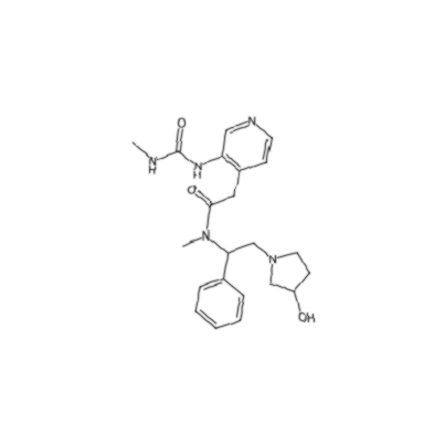 CNC(=O)Nc1cnccc1CC(=O)N(C)C(CN1CCC(O)C1)c1ccccc1